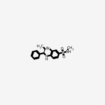 CC[C@@H](Nc1ccc(S(=O)(=O)NC)cc1Br)c1ccccc1